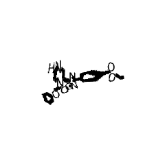 C=CCOC(=O)c1ccc(-c2noc(C3CNCCN3C(=O)COc3ccccc3)n2)cc1